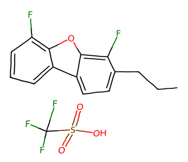 CCCc1ccc2c(oc3c(F)cccc32)c1F.O=S(=O)(O)C(F)(F)F